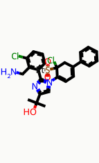 CCS(=O)(=O)C1(Cl)CC(c2ccccc2)=CC=C1n1cc(C(C)(C)O)nc1-c1cccc(Cl)c1CN